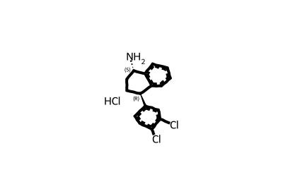 Cl.N[C@H]1CC[C@H](c2ccc(Cl)c(Cl)c2)c2ccccc21